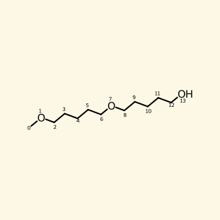 COCCCCCOCCCCCO